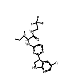 CC[C@@H](C)[C@H](Nc1ccnc(C2CNc3ncc(Cl)cc32)n1)C(=O)NCC(F)(F)F